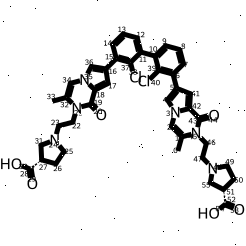 Cc1cn2cc(-c3cccc(-c4cccc(-c5cc6c(=O)n(CCN7CC[C@H](C(=O)O)C7)c(C)cn6c5)c4Cl)c3Cl)cc2c(=O)n1CCN1CC[C@H](C(=O)O)C1